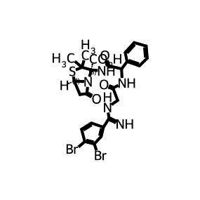 CC1(C)S[C@@H]2CC(=O)N2[C@@]1(NC(=O)C(NC(=O)CNC(=N)c1ccc(Br)c(Br)c1)c1ccccc1)C(=O)O